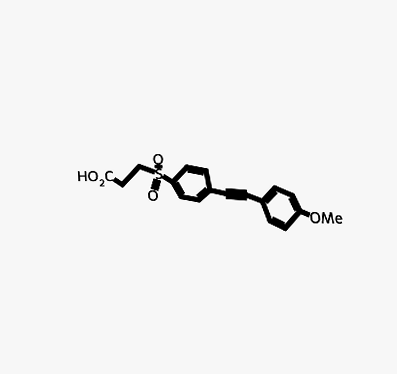 COc1ccc(C#Cc2ccc(S(=O)(=O)CCC(=O)O)cc2)cc1